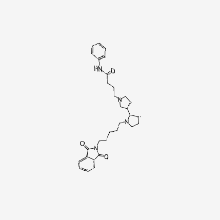 O=C(CCCN1CCC(C2[CH]CCN2CCCCCN2C(=O)c3ccccc3C2=O)C1)Nc1ccccc1